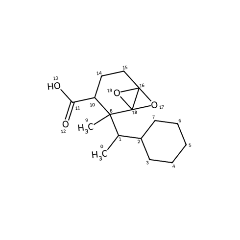 CC(C1CCCCC1)C1(C)C(C(=O)O)CCC23OC21O3